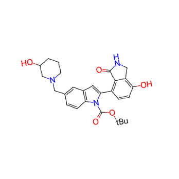 CC(C)(C)OC(=O)n1c(-c2ccc(O)c3c2C(=O)NC3)cc2cc(CN3CCCC(O)C3)ccc21